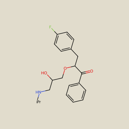 CC(C)NCC(O)COC(Cc1ccc(F)cc1)C(=O)c1ccccc1